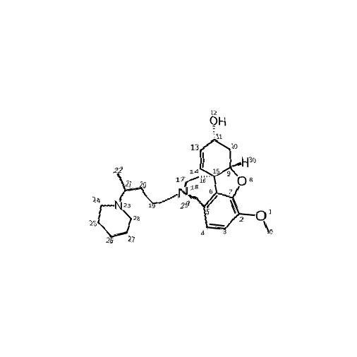 COc1ccc2c3c1O[C@H]1C[C@@H](O)C=C[C@]31CCN(CCC(C)N1CCCCC1)C2